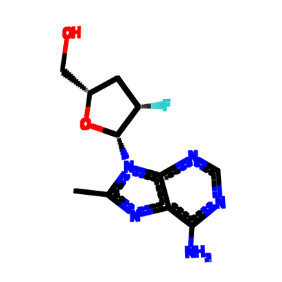 Cc1nc2c(N)ncnc2n1[C@@H]1O[C@H](CO)C[C@@H]1F